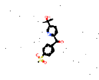 CC(C)(O)c1ccc(C(=O)c2ccc(S(C)(=O)=O)cc2)nc1